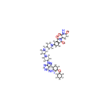 Nc1ncnc2c1c(-c1ccc(Oc3ccccc3)cc1)nn2C1CCN(C2CCN(CC3CCN(c4ccc5c(c4)C(=O)N(C4CCC(=O)NC4=O)C5=O)CC3)C2)CC1